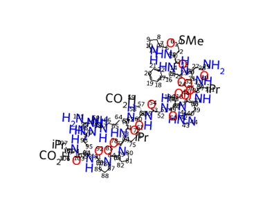 CSCC[C@H](NC(=O)[C@@H]1CCCN1)C(=O)N[C@@H](Cc1ccccc1)C(=O)N[C@@H](CC(N)=O)C(=O)N[C@H](C(=O)N[C@@H](Cc1c[nH]cn1)C(=O)N[C@H](C(=O)NCC(=O)N[C@@H](CCC(=O)O)C(=O)N[C@@H](CCCNC(=N)N)C(=O)N[C@@H](CC(C)C)C(=O)N1CCC[C@H]1C(=O)N1CCC[C@H]1C(=O)N[C@@H](CCCNC(=N)N)C(=O)N[C@H](C(=O)O)C(C)C)[C@@H](C)O)C(C)C